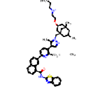 C.Cc1c(-c2ccc(-c3ccc4cccc(C(=O)Nc5nc6ccccc6s5)c4c3)nc2C(=O)O)cnn1CC12CC(C)CC(C)(CC(OCCNCCC(=O)O)C1)C2